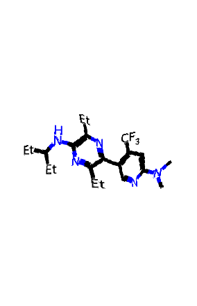 CCc1nc(-c2cnc(N(C)C)cc2C(F)(F)F)c(CC)nc1NC(CC)CC